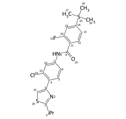 CC(C)c1nc(-c2ccc(NC(=O)c3ccc(S(C)(C)C)cc3F)cc2Cl)cs1